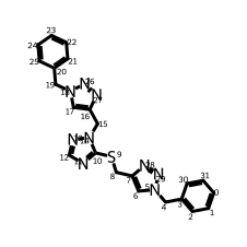 c1ccc(Cn2cc(CSc3ncnn3Cc3cn(Cc4ccccc4)nn3)nn2)cc1